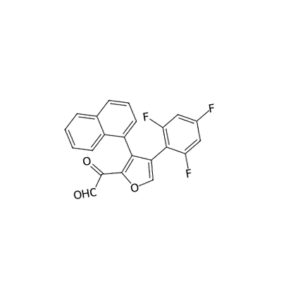 O=CC(=O)c1occ(-c2c(F)cc(F)cc2F)c1-c1cccc2ccccc12